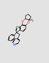 C=CC(Cc1ccncc1)(c1ccccc1)c1ccc(OC)c(OC2CCCC2)c1